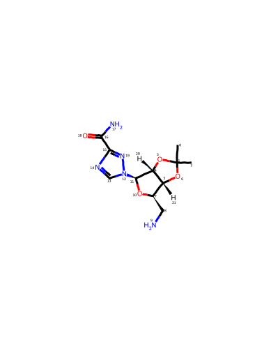 CC1(C)O[C@@H]2[C@H](O1)[C@@H](CN)O[C@H]2n1cnc(C(N)=O)n1